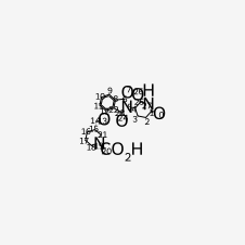 O=C1CCC(N2C(=O)c3cccc(OC[C@H]4CCCN(C(=O)O)C4)c3C2=O)C(=O)N1